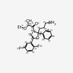 CCO[C@@H](C)C(=O)N1N=C(c2cc(F)ccc2F)OC1(CCCN)c1ccccc1